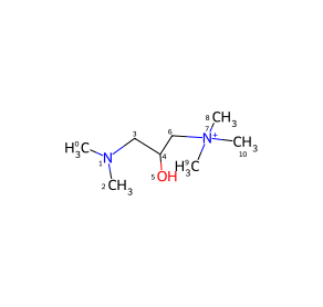 CN(C)CC(O)C[N+](C)(C)C